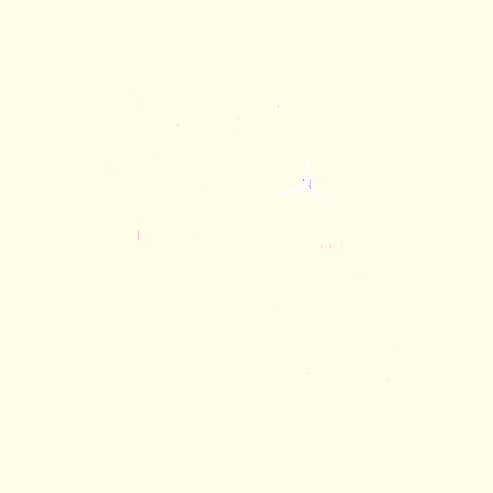 COc1ccccc1CC(O)CC1c2c(cc3c(c2CO)OCO3)CCN1C